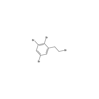 BrCCc1cc(Br)cc(Br)c1Br